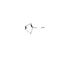 [CH3][Sr][C]1=CC=CC1